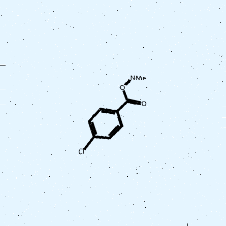 CNOC(=O)c1ccc(Cl)cc1